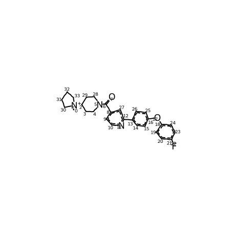 C[N+]1(C2CCN(C(=O)c3ccnc(-c4ccc(Oc5ccc(F)cc5)cc4)c3)CC2)CCCC1